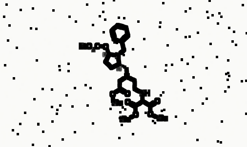 CCOC(=O)O[C@@H]1CC[C@@H](CN(CCNC(C(=O)OC(C)(C)C)C(=O)OC(C)(C)C)CC(=O)OC(C)(C)C)N1Cc1ccccc1